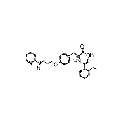 O=C(N[C@@H](Cc1ccc(OCCCNc2ccccn2)cc1)C(=O)O)c1ccccc1CI